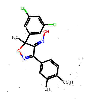 Cc1cc(C2=NOC(c3cc(Cl)cc(Cl)c3)(C(F)(F)F)/C2=N\O)ccc1C(=O)O